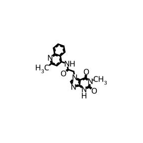 Cc1cc(NC(=O)Cn2cnc3[nH]c(=O)n(C)c(=O)c32)c2ccccc2n1